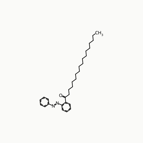 CCCCCCCCCCCCCCCCCC(=O)c1ccccc1N=Nc1ccccc1